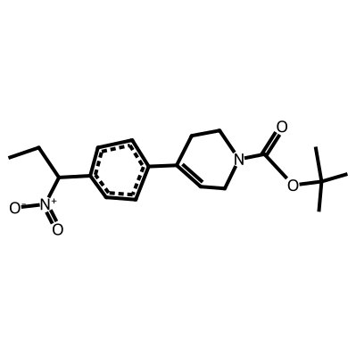 CCC(c1ccc(C2=CCN(C(=O)OC(C)(C)C)CC2)cc1)[N+](=O)[O-]